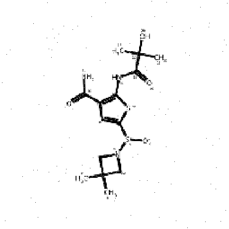 CC1(C)CN([S+]([O-])c2cc(C(N)=O)c(NC(=O)C(C)(C)O)s2)C1